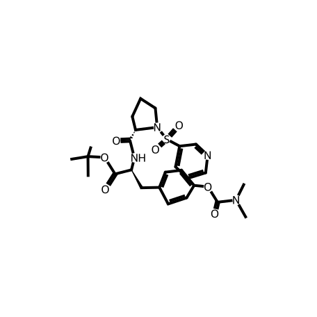 CN(C)C(=O)Oc1ccc(C[C@H](NC(=O)[C@@H]2CCCN2S(=O)(=O)c2cccnc2)C(=O)OC(C)(C)C)cc1